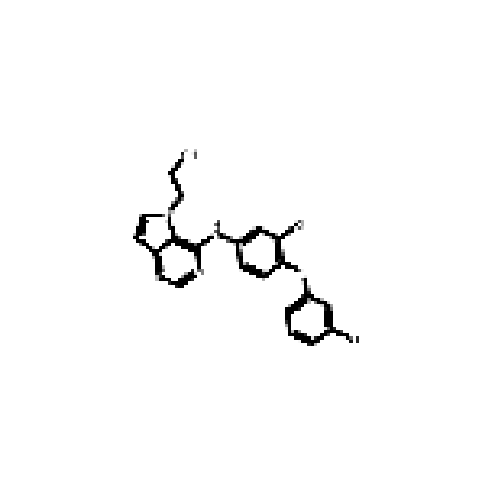 OCCn1ccc2ncnc(Nc3ccc(Oc4cccc(Cl)c4)c(Cl)c3)c21